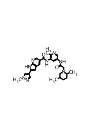 Cc1ncc(NC(=O)CN2CC(C)CCC2C)cc1NC(=O)c1cnc2[nH]c(-c3cnn(C)c3)cc2c1